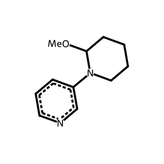 COC1CCCCN1c1cccnc1